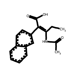 CCC(NC(C)=O)=C(C(=O)O)c1ccc2ccccc2c1